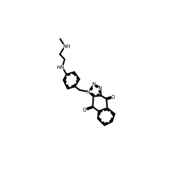 CNCCNc1ccc(Cn2nnc3c2C(=O)c2ccccc2C3=O)cc1